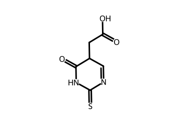 O=C(O)CC1C=NC(=S)NC1=O